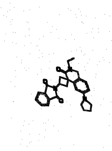 CCN1Cc2ccc(N3CCCC3)cc2C2(CC(N3C(=O)c4ccccc4C3=O)C2)C1=O